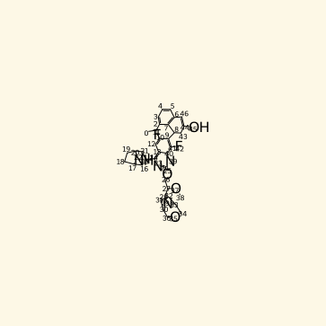 CCc1cccc2c1C(c1c(F)cc3c(N4CC5CCC(C4)N5)nc(OCC(CN4C5CCC4COC5)OC)nc3c1F)CC(O)=C2